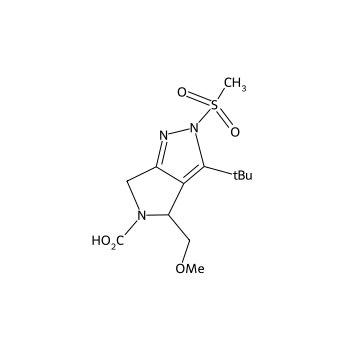 COCC1c2c(nn(S(C)(=O)=O)c2C(C)(C)C)CN1C(=O)O